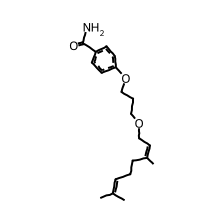 CC(C)=CCCC(C)=CCOCCCOc1ccc(C(N)=O)cc1